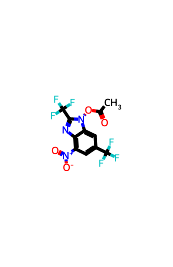 CC(=O)On1c(C(F)(F)F)nc2c([N+](=O)[O-])cc(C(F)(F)F)cc21